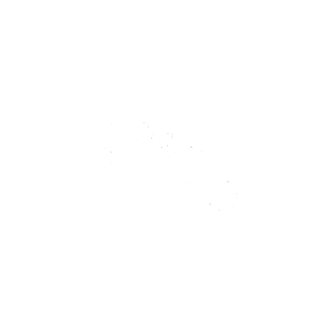 C[C@H](NC(=O)C1=C/C=C\C=C/C(c2ccccccccc2)=C\C=C/C=C\1)C(=O)NC(CC(=O)O)C(=O)COc1c(F)c(F)cc(F)c1F